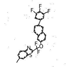 Cc1ccc2nc(C(F)(F)Oc3ccc4cc(-c5cc(F)c(F)c(F)c5)ccc4c3)sc2c1